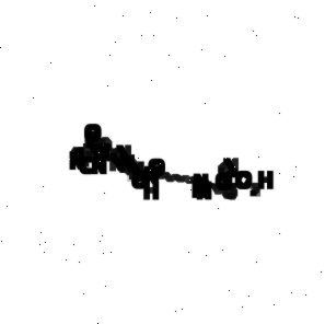 C[C@@H]1CN(c2ncc(-c3ccc4c(n3)N(Cc3cccnc3C#N)C(C)(C)C4=O)cn2)CCN1C(=O)CNC(=O)CCCCCCCCn1cc(CCc2ccccc2OC2(C(=O)O)C=CC=NC2)nn1